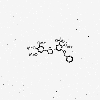 CCCOc1c(OCc2ccccc2)cc([C@@H]2CC[C@@H](c3cc(OC)c(OC)c(OC)c3)O2)cc1S(C)(=O)=O